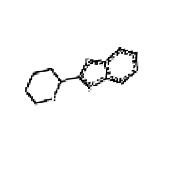 c1ccc2sc(C3CCCCO3)nc2c1